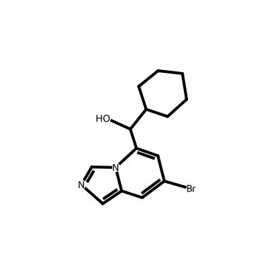 OC(c1cc(Br)cc2cncn12)C1CCCCC1